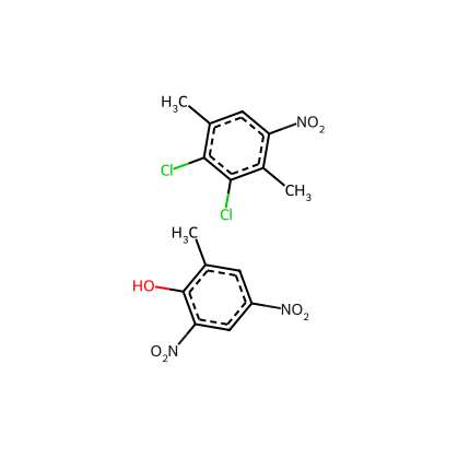 Cc1cc([N+](=O)[O-])c(C)c(Cl)c1Cl.Cc1cc([N+](=O)[O-])cc([N+](=O)[O-])c1O